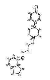 Clc1ccc(N2CCN(CCCCOc3cccc4c3CCC4)CC2)cc1